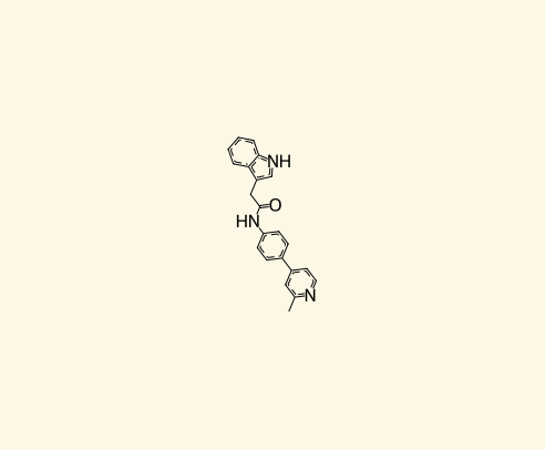 Cc1cc(-c2ccc(NC(=O)Cc3c[nH]c4ccccc34)cc2)ccn1